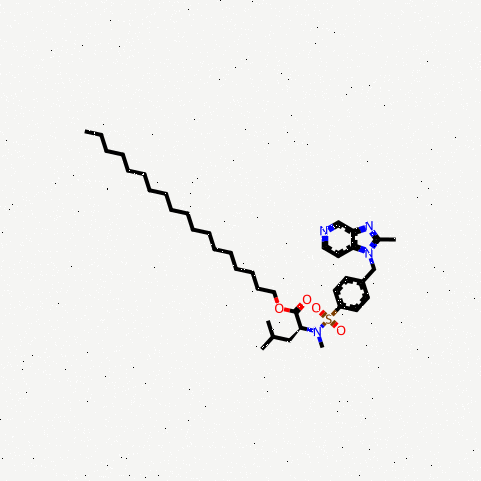 CCCCCCCCCCCCCCCCCCOC(=O)[C@H](CC(C)C)N(C)S(=O)(=O)c1ccc(Cn2c(C)nc3cnccc32)cc1